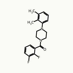 Cc1cccc(N2CCN(C(=O)c3cccc(F)c3F)CC2)c1C